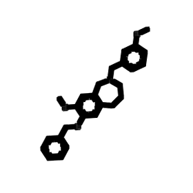 COc1cccc(CN2CCCc3cc(OCc4ccccc4)c(OC)cc3C2)c1